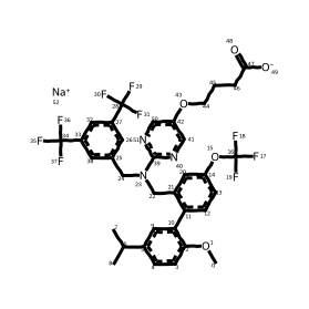 COc1ccc(C(C)C)cc1-c1ccc(OC(F)(F)F)cc1CN(Cc1cc(C(F)(F)F)cc(C(F)(F)F)c1)c1ncc(OCCCC(=O)[O-])cn1.[Na+]